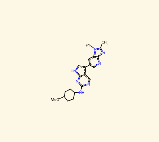 COC1CCC(Nc2ncc3c(-c4cnc5nc(C)n(C(C)C)c5c4)c[nH]c3n2)CC1